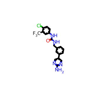 Nc1ncc(-c2cccc(CNC(=O)Nc3ccc(Cl)c(C(F)(F)F)c3)c2)cn1